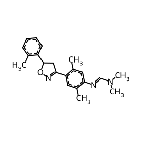 Cc1cc(C2=NOC(c3ccccc3C)C2)c(C)cc1N=CN(C)C